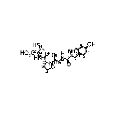 N[C@@H](Cc1ccc(O)cc1)C(=O)NCC(=O)N1CCC[C@H]1C(=O)N[C@@H](CS)C(=O)O